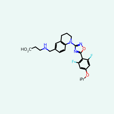 CC(C)Oc1cc(F)c(-c2nc(N3CCCc4cc(CNCCC(=O)O)ccc43)no2)c(F)c1